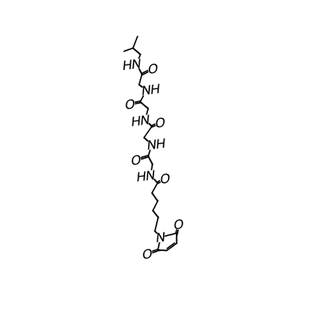 CC(C)CNC(=O)CNC(=O)CNC(=O)CNC(=O)CNC(=O)CCCCCN1C(=O)C=CC1=O